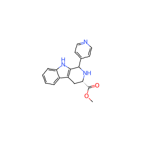 COC(=O)[C@@H]1Cc2c([nH]c3ccccc23)C(c2ccncc2)N1